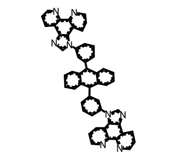 c1cc(-c2c3ccccc3c(-c3cccc(-n4cnc5c6cccnc6c6ncccc6c54)c3)c3ccccc23)cc(-n2cnc3c4cccnc4c4ncccc4c32)c1